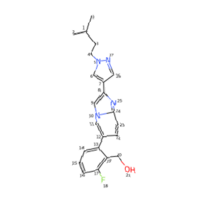 CC(C)CCn1cc(-c2cn3cc(-c4cccc(F)c4CO)ccc3n2)cn1